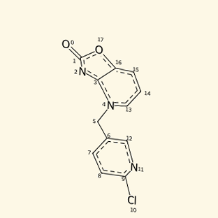 O=c1nc2n(Cc3ccc(Cl)nc3)cccc-2o1